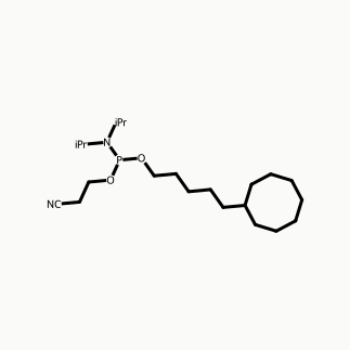 CC(C)N(C(C)C)P(OCCC#N)OCCCCCC1CCCCCCC1